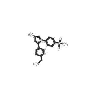 Cc1cc(-c2ccc(CN)cc2)n(-c2ccc(S(N)(=O)=O)cc2)c1